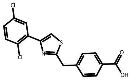 O=C(O)c1ccc(Cc2nc(-c3cc(Cl)ccc3Cl)cs2)cc1